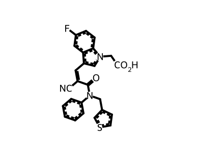 N#CC(=Cc1cn(CC(=O)O)c2ccc(F)cc12)C(=O)N(Cc1ccsc1)c1ccccc1